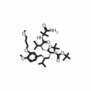 COCCCOc1cc(C[C@@H](C[C@H]2[C@H](C[C@H](C(=O)NC(C)(C)C(N)=O)C(C)C)OC(C)(C)N2C(=O)OC(C)(C)C)C(C)C)ccc1OC